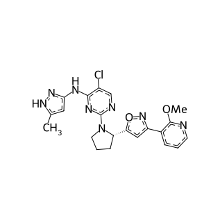 COc1ncccc1-c1cc([C@@H]2CCCN2c2ncc(Cl)c(Nc3cc(C)[nH]n3)n2)on1